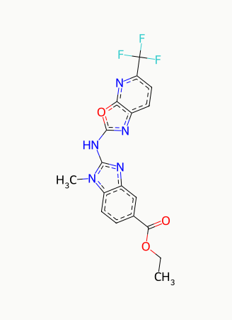 CCOC(=O)c1ccc2c(c1)nc(Nc1nc3ccc(C(F)(F)F)nc3o1)n2C